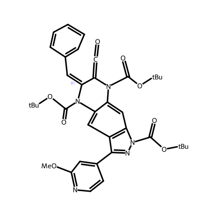 COc1cc(-c2nn(C(=O)OC(C)(C)C)c3cc4c(cc23)N(C(=O)OC(C)(C)C)/C(=C/c2ccccc2)C(=C=O)N4C(=O)OC(C)(C)C)ccn1